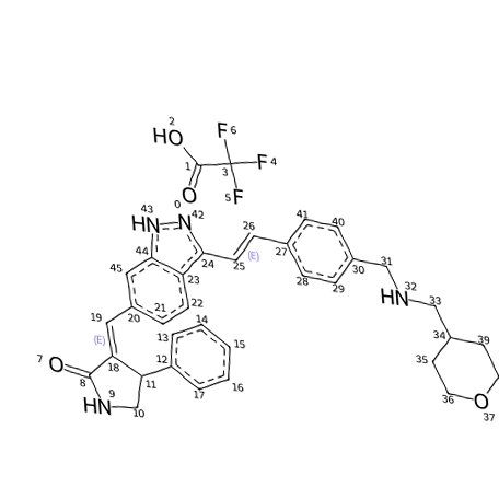 O=C(O)C(F)(F)F.O=C1NCC(c2ccccc2)/C1=C\c1ccc2c(/C=C/c3ccc(CNCC4CCOCC4)cc3)n[nH]c2c1